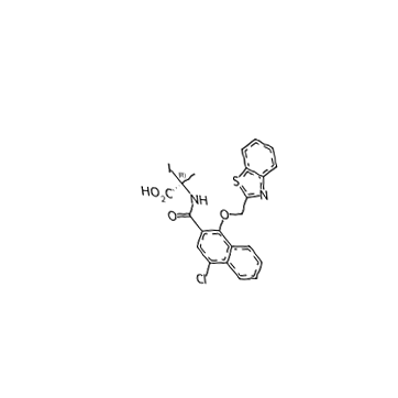 C[C@](I)(NC(=O)c1cc(Cl)c2ccccc2c1OCc1nc2ccccc2s1)C(=O)O